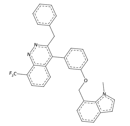 Cn1ccc2cccc(COc3cccc(-c4c(Cc5ccccc5)nnc5c(C(F)(F)F)cccc45)c3)c21